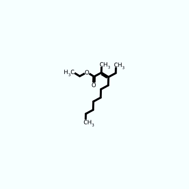 CCCCCCCC(CC)=C(C)C(=O)OCC